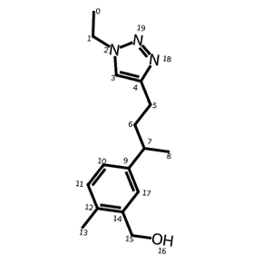 CCn1cc(CCC(C)c2ccc(C)c(CO)c2)nn1